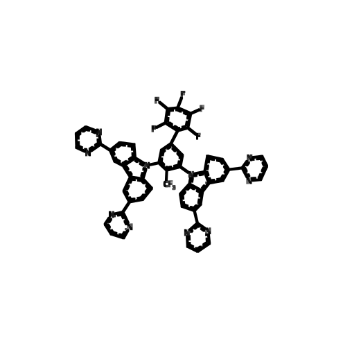 Fc1c(F)c(F)c(-c2cc(-n3c4ccc(-c5ncccn5)cc4c4cc(-c5ncccn5)ccc43)c(C(F)(F)F)c(-n3c4ccc(-c5ncccn5)cc4c4cc(-c5ncccn5)ccc43)c2)c(F)c1F